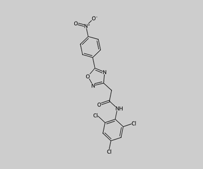 O=C(Cc1noc(-c2ccc([N+](=O)[O-])cc2)n1)Nc1c(Cl)cc(Cl)cc1Cl